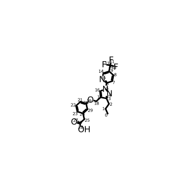 CCCc1nn(-c2ccc(C(F)(F)F)cn2)cc1COc1cccc(CC(=O)O)c1